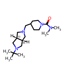 CN(C)C(=O)N1CCC(CN2C[C@@H]3CN(C(C)(C)C)C[C@@H]3C2)CC1